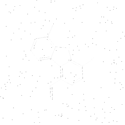 C=Cc1ccc(Cl)c2oc3c(C)cccc3c12